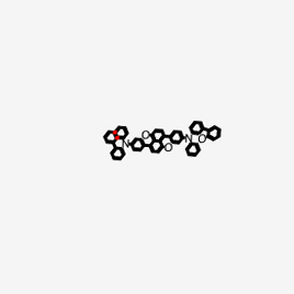 c1ccc(-c2ccccc2N(c2ccccc2)c2ccc3c(c2)Oc2ccc4c5c(ccc-3c25)Oc2cc(N(c3ccccc3)c3cccc5c3oc3ccccc35)ccc2-4)cc1